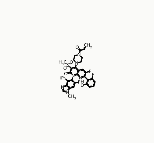 C=CC(=O)N1CCN(c2c(S(C)(=O)=O)c(=O)n(-c3c(F)cc4c(ncn4C)c3C(C)C)c3nc(-c4c(O)cccc4F)c(F)cc23)CC1